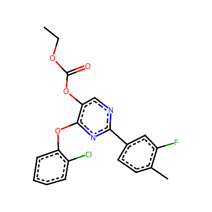 CCOC(=O)Oc1cnc(-c2ccc(C)c(F)c2)nc1Oc1ccccc1Cl